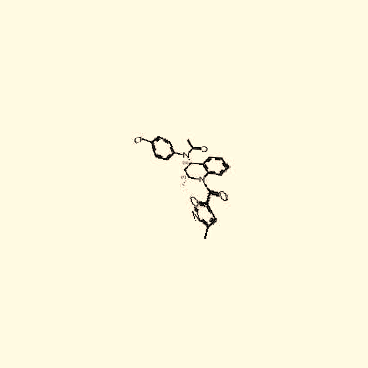 CC(=O)N(c1ccc(Cl)cc1)[C@H]1C[C@@H](C)N(C(=O)c2cc(C)no2)c2ccccc21